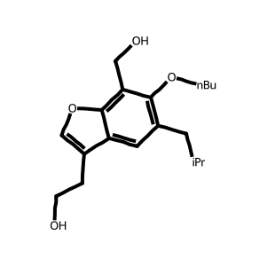 CCCCOc1c(CC(C)C)cc2c(CCO)coc2c1CO